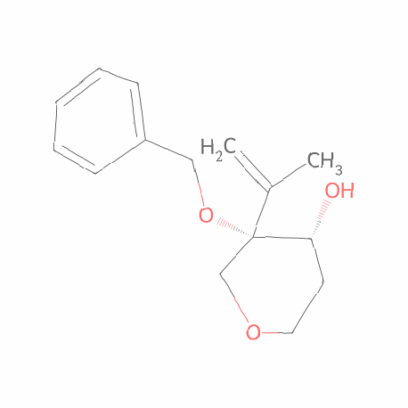 C=C(C)[C@]1(OCc2ccccc2)COCC[C@H]1O